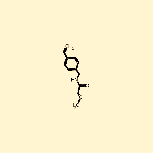 C=Cc1ccc(CNC(=O)COC)cc1